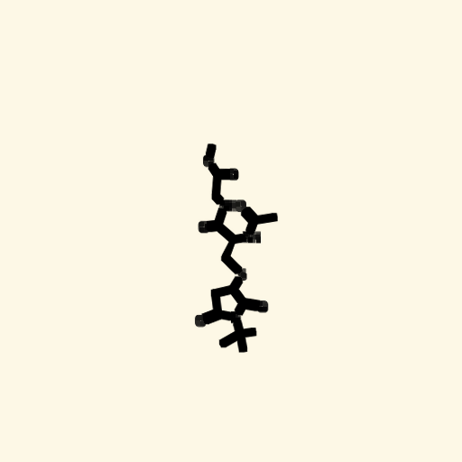 COC(=O)CNC(=O)[C@H](CSC1CC(=O)N(C(C)(C)C)C1=O)NC(C)=O